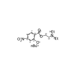 CCCCOc1cc([N+](=O)[O-])ccc1C(=O)OCCN(CC)CC